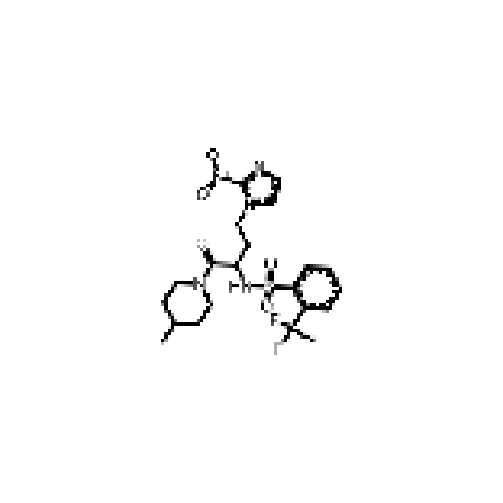 CC1CCN(C(=O)C(CCn2ccnc2[N+](=O)[O-])NS(=O)(=O)c2ccccc2C(F)(F)F)CC1